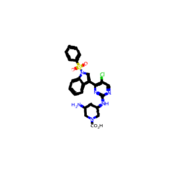 NC1CC(Nc2ncc(Cl)c(-c3cn(S(=O)(=O)c4ccccc4)c4ccccc34)n2)CN(C(=O)O)C1